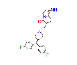 Cc1cc2n(c(=O)c1CCN1CCC(=C(c3ccc(F)cc3)c3ccc(F)cc3)CC1)C=CS2=N